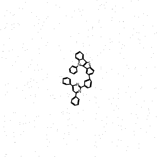 c1ccc(-c2cc(-c3ccccc3)nc(-c3cccc(-c4ccc5sc6c7ccccc7n(-c7ccccc7)c6c5c4)c3)n2)cc1